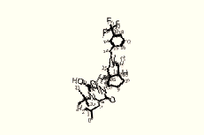 CC(C)C[C@H](C(=O)N[C@H]1CC[C@@H]2CN(Cc3cccc(C(F)(F)F)c3)C[C@@H]21)N(C(=O)O)C(C)(C)C